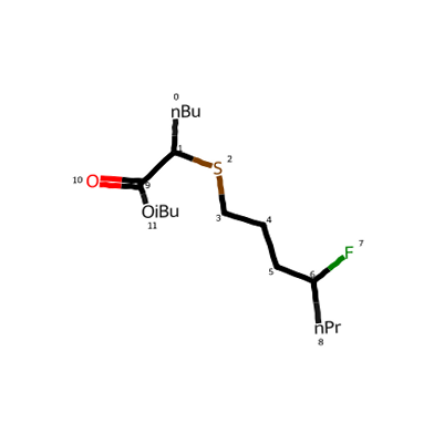 CCCCC(SCCCC(F)CCC)C(=O)OCC(C)C